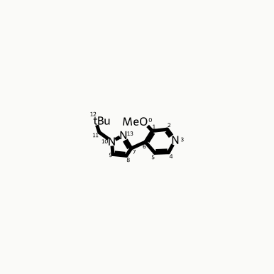 COc1cnccc1-c1ccn(CC(C)(C)C)n1